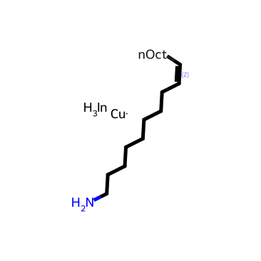 CCCCCCCC/C=C\CCCCCCCCN.[Cu].[InH3]